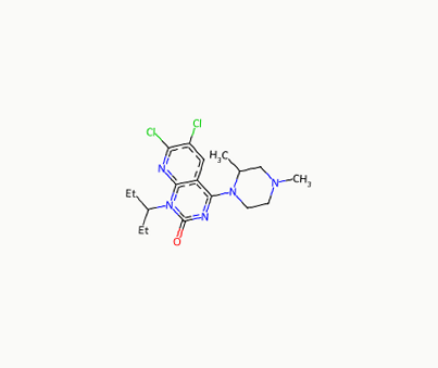 CCC(CC)n1c(=O)nc(N2CCN(C)CC2C)c2cc(Cl)c(Cl)nc21